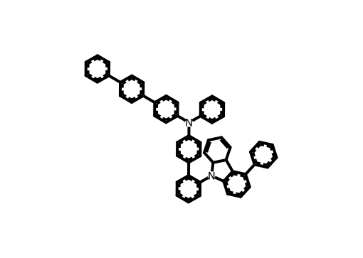 C1=CC2c3c(-c4ccccc4)cccc3N(c3ccccc3-c3ccc(N(c4ccccc4)c4ccc(-c5ccc(-c6ccccc6)cc5)cc4)cc3)C2C=C1